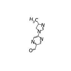 CC1CN(c2cnc(C=O)cn2)C=N1